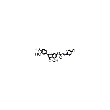 Cc1ccc([C@@H]2CC(=O)c3c(O)cc(OC(=O)/C=C/c4ccc(Cl)cn4)cc3O2)cc1O